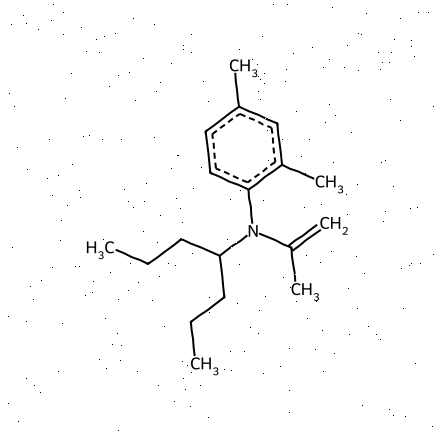 C=C(C)N(c1ccc(C)cc1C)C(CCC)CCC